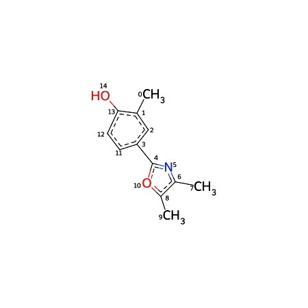 Cc1cc(-c2nc(C)c(C)o2)ccc1O